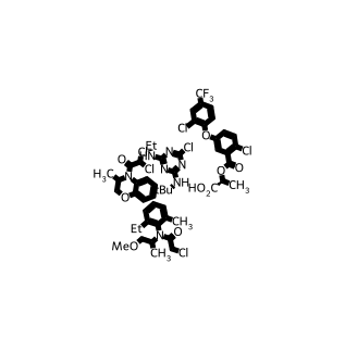 CC1COc2ccccc2N1C(=O)C(Cl)Cl.CCNc1nc(Cl)nc(NC(C)(C)C)n1.CCc1cccc(C)c1N(C(=O)CCl)C(C)COC.C[C@H](OC(=O)c1cc(Oc2ccc(C(F)(F)F)cc2Cl)ccc1Cl)C(=O)O